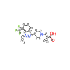 Cn1nc(C2CCN(CC3(C(=O)O)CC3)CC2)c2cccc(C(F)(F)F)c21